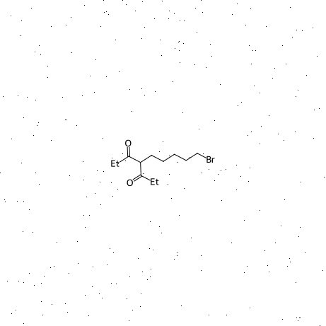 CCC(=O)C(CCCCCBr)C(=O)CC